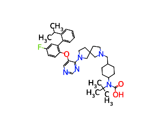 CC(C)c1ccccc1-c1cc(F)ccc1Oc1cncnc1N1CCC2(CCN(CC3CCC(N(C(=O)O)C(C)(C)C)CC3)C2)C1